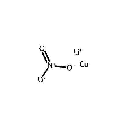 O=[N+]([O-])[O-].[Cu].[Li+]